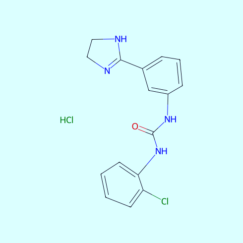 Cl.O=C(Nc1cccc(C2=NCCN2)c1)Nc1ccccc1Cl